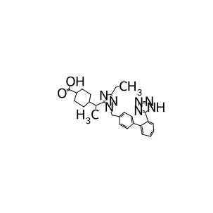 CCc1nc(C(C)C2CCC(C(=O)O)CC2)n(Cc2ccc(-c3ccccc3-c3nnn[nH]3)cc2)n1